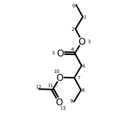 CCCOC(=O)CC(CC)OC(C)=O